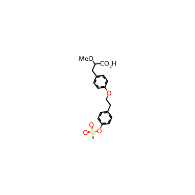 COC(Cc1ccc(OCCc2ccc(OS(C)(=O)=O)cc2)cc1)C(=O)O